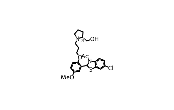 COc1ccc(OCCCN2CCC[C@H]2CO)c(C2Sc3cc(Cl)ccc3N2C(C)=O)c1